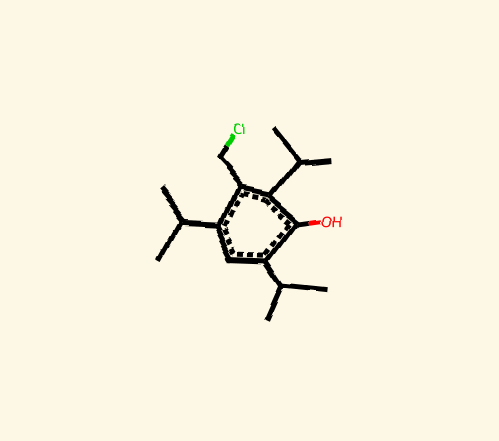 CC(C)c1cc(C(C)C)c(CCl)c(C(C)C)c1O